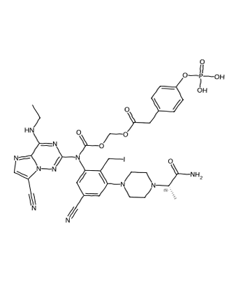 CCNc1nc(N(C(=O)OCOC(=O)Cc2ccc(OP(=O)(O)O)cc2)c2cc(C#N)cc(N3CCN([C@@H](C)C(N)=O)CC3)c2CI)nn2c(C#N)cnc12